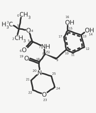 CC(C)(C)OC(=O)N[C@@H](Cc1ccc(O)c(O)c1)C(=O)N1CCOCC1